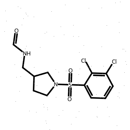 O=CNCC1CCN(S(=O)(=O)c2cccc(Cl)c2Cl)C1